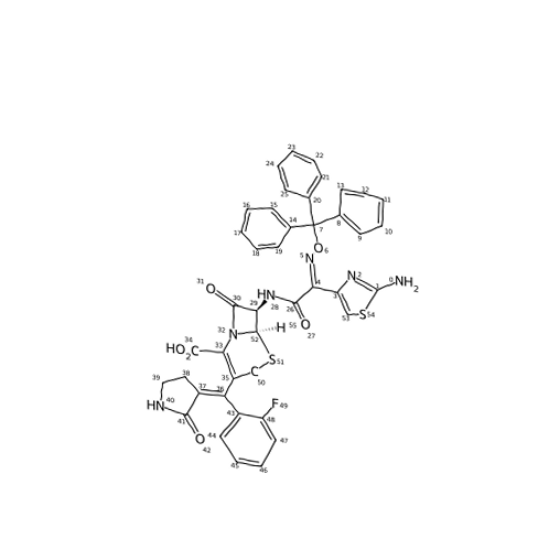 Nc1nc(C(=NOC(c2ccccc2)(c2ccccc2)c2ccccc2)C(=O)N[C@@H]2C(=O)N3C(C(=O)O)=C(C(=C4CCNC4=O)c4ccccc4F)CS[C@H]23)cs1